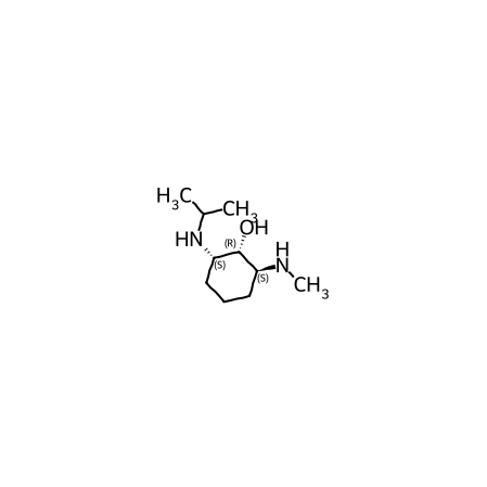 CN[C@H]1CCC[C@H](NC(C)C)[C@@H]1O